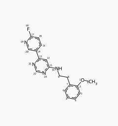 COc1ccccc1CCNc1cc(-c2ccc(F)nc2)ncn1